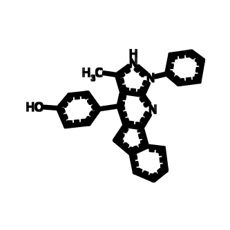 Cc1[nH]n(-c2ccccc2)c2nc3c(cc4ccccc43)c(-c3ccc(O)cc3)c12